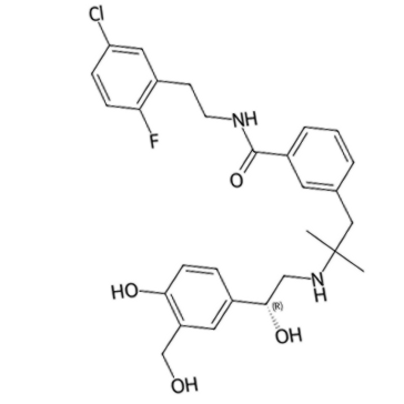 CC(C)(Cc1cccc(C(=O)NCCc2cc(Cl)ccc2F)c1)NC[C@H](O)c1ccc(O)c(CO)c1